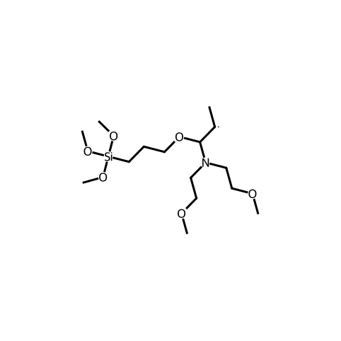 C[CH]C(OCCC[Si](OC)(OC)OC)N(CCOC)CCOC